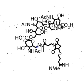 CNC(=N)CCCSC1CC(=O)N(CCC(=O)N/N=C/C2OC(OCC(CO)C(O)C3OC(OC(CO)C(O)C4OC(O)(C(=O)O)CC(O)C4NC(C)=O)(C(=O)O)CC(O)C3NC(C)=O)(C(=O)O)CC(O)C2NC(C)=O)C1=O